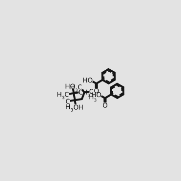 CC(C)CC(C)(O)C(C)(C)O.O=C(O)c1ccccc1.O=C(O)c1ccccc1